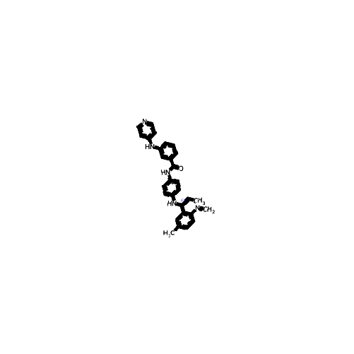 C=Nc1ccc(C)cc1/C(=C\C)Nc1ccc(NC(=O)c2cccc(Nc3ccncc3)c2)cc1